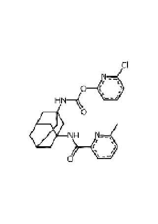 Cc1cccc(C(=O)NC23CC4CC(CC(NC(=O)Oc5cccc(Cl)n5)(C4)C2)C3)n1